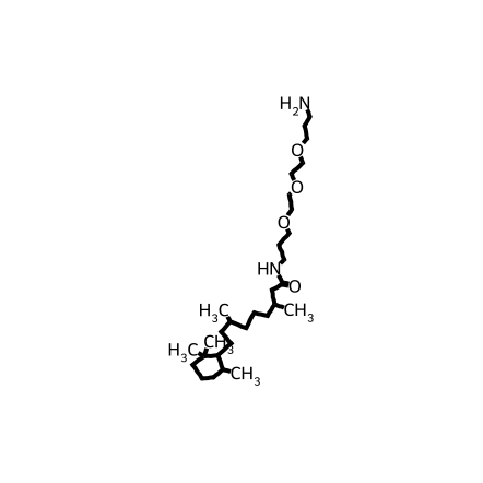 CC(CCCC(C)CC(=O)NCCCOCCOCCOCCCN)CCC1C(C)CCCC1(C)C